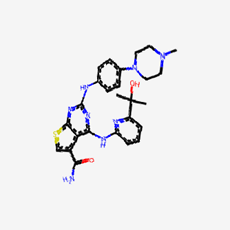 CN1CCN(c2ccc(Nc3nc(Nc4cccc(C(C)(C)O)n4)c4c(C(N)=O)csc4n3)cc2)CC1